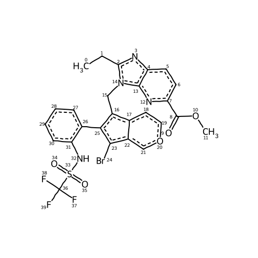 CCc1nc2ccc(C(=O)OC)nc2n1Cc1c2ccocc-2c(Br)c1-c1ccccc1NS(=O)(=O)C(F)(F)F